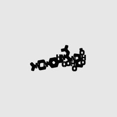 CO[C@@H]1CN(C(=O)C(CC(C)C)NC(=O)c2ccc(N3CCN(C(C)C)CC3)cc2)[C@@H]2C(=O)CO[C@@H]21